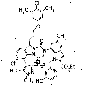 CCOC(=O)c1cc2cc(C)cc(N3C[C@@H](C)n4c(c(CCCOc5cc(C)c(Cl)c(C)c5)c5ccc(Cl)c(-c6c(C)nn(C)c6C)c54)C3=O)c2n1Cc1cc(C#N)ccn1